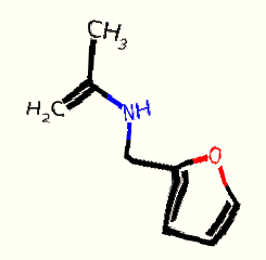 C=C(C)NCc1ccco1